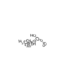 CC(C)(C)NC[C@H](O)COc1cccc(OC[C@@H]2CCCO2)c1.Cl